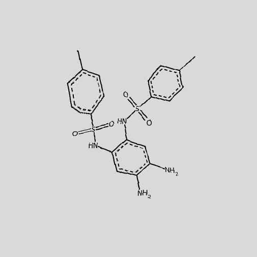 Cc1ccc(S(=O)(=O)Nc2cc(N)c(N)cc2NS(=O)(=O)c2ccc(C)cc2)cc1